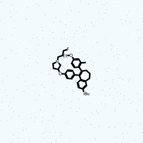 CCOc1ccc(C2=C(c3ccc(OC4CCN(CCCF)C4)cc3)c3ccc(C(C)CC)cc3CCC2)c(C)c1